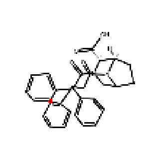 O=C(O)[C@@H]1[C@H]2CCC(CN1C(=O)C(c1ccccc1)c1ccccc1)N2C(=O)CCc1ccccc1